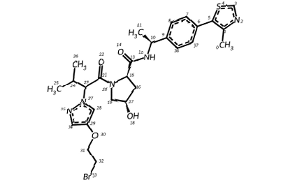 Cc1ncsc1-c1ccc([C@H](C)NC(=O)[C@H]2C[C@@H](O)CN2C(=O)C(C(C)C)n2cc(OCCBr)cn2)cc1